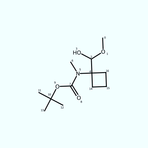 COC(O)C1(N(C)C(=O)OC(C)(C)C)CCC1